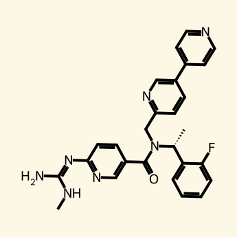 CN/C(N)=N\c1ccc(C(=O)N(Cc2ccc(-c3ccncc3)cn2)[C@H](C)c2ccccc2F)cn1